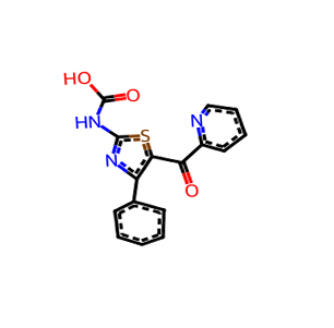 O=C(O)Nc1nc(-c2ccccc2)c(C(=O)c2ccccn2)s1